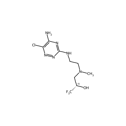 CN(CCNc1nnc(Cl)c(N)n1)C[C@H](O)C(F)(F)F